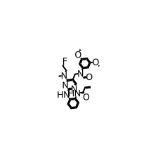 C=CC(=O)Nc1ccccc1Nc1ncc(CN(C=O)c2cc(OC)cc(OC)c2)c(N(C)CCF)n1